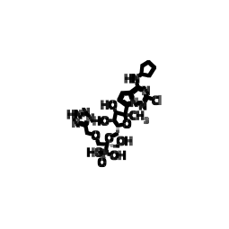 C[C@@]1(c2ccc3c(NC4CCCC4)nc(Cl)nn23)O[C@H](CO[C@](CO)(COCc2nn[nH]n2)P(=O)(O)O)[C@@H](O)[C@H]1O